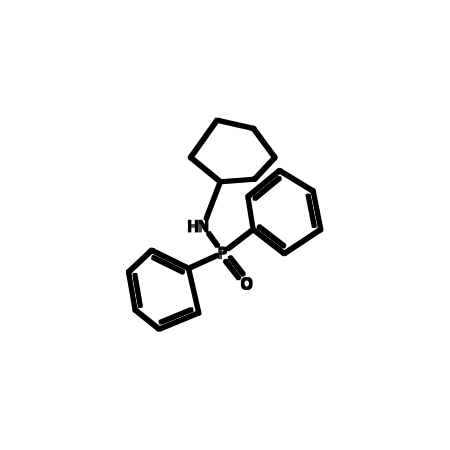 O=P(NC1CCCCC1)(c1ccccc1)c1ccccc1